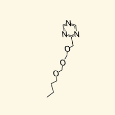 CCCCOCOCOCc1ncncn1